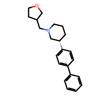 c1ccc(-c2ccc([C@H]3CCCN(CC4CCOC4)C3)cc2)cc1